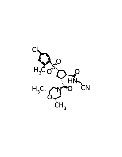 Cc1cc(Cl)ccc1S(=O)(=O)[C@@H]1C[C@@H](C(=O)NCC#N)[C@H](C(=O)N2C[C@@H](C)O[C@@H](C)C2)C1